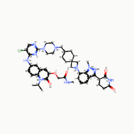 CNC(=O)COc1cc2cc(Nc3nc(N4CCN(CC5CCC6(CC5)CN(c5cccc7c(C8CCC(=O)NC8=O)nn(C)c57)C6)CC4)ncc3Cl)ccc2n(C(C)C)c1=O